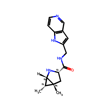 C[C@@H]1[C@@H]2N[C@H](C(=O)NCc3cc4cnccc4[nH]3)C[C@]12C